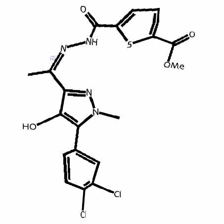 COC(=O)c1ccc(C(=O)N/N=C(/C)c2nn(C)c(-c3ccc(Cl)c(Cl)c3)c2O)s1